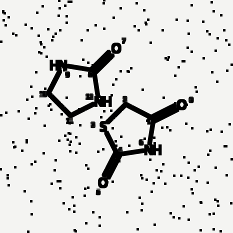 O=C1CSC(=O)N1.O=C1NCCN1